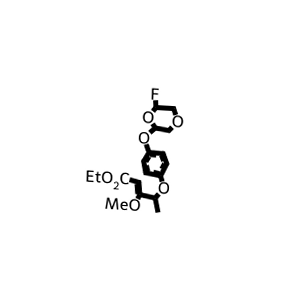 CCOC(=O)C=C(OC)C(C)Oc1ccc(OC2COCC(F)O2)cc1